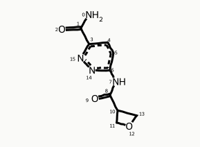 NC(=O)c1ccc(NC(=O)C2COC2)nn1